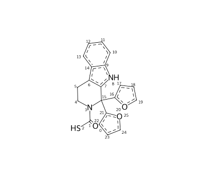 O=C(S)N1CCc2c([nH]c3ccccc23)C1(c1ccco1)c1ccco1